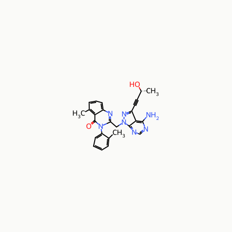 Cc1ccccc1-n1c(Cn2nc(C#C[C@@H](C)O)c3c(N)ncnc32)nc2cccc(C)c2c1=O